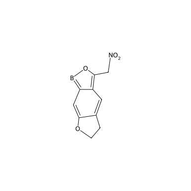 O=[N+]([O-])Cc1obc2cc3c(cc12)CCO3